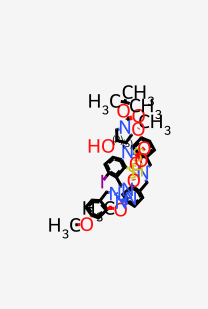 COc1ccc(CN(Cc2ccc(OC)cc2)S(=O)(=O)c2c(N([C@H]3CN(C(=O)OC(C)(C)C)C[C@H]3O)[SH](=O)=O)ccc(I)c2-c2nnnn2Cc2ccc(OC)cc2)cc1